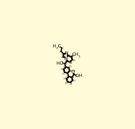 CCCc1cn2c([C@H](O)c3ccc(-c4ccccc4C(=O)O)cc3)ccc(C)c2n1